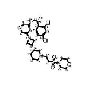 C[C@@H](Nc1cncc(N2CC([C@H]3CCCN(CCS(=O)(=O)N4CCOCC4)C3)C2)n1)c1ccc(Cl)cc1Cl